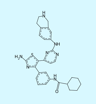 Nc1nc(-c2cccc(NC(=O)C3CCCCC3)c2)c(-c2ccnc(Nc3ccc4c(c3)CNCC4)n2)s1